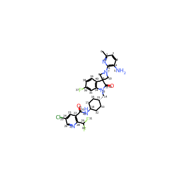 Cc1ccc(N)c(N2CC3(C2)C(=O)N(C[C@H]2CC[C@H](NC(=O)c4cc(Cl)cnc4C(F)F)CC2)c2cc(F)ccc23)n1